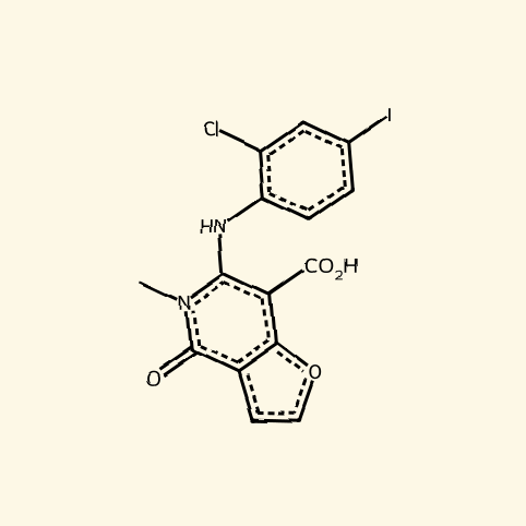 Cn1c(Nc2ccc(I)cc2Cl)c(C(=O)O)c2occc2c1=O